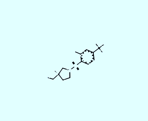 O=S(=O)(c1ccc(C(F)(F)F)cc1F)N1CC[C@](O)(CO)C1